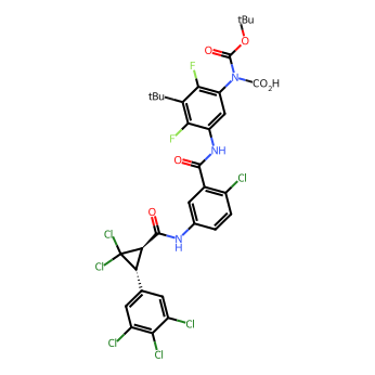 CC(C)(C)OC(=O)N(C(=O)O)c1cc(NC(=O)c2cc(NC(=O)[C@H]3[C@H](c4cc(Cl)c(Cl)c(Cl)c4)C3(Cl)Cl)ccc2Cl)c(F)c(C(C)(C)C)c1F